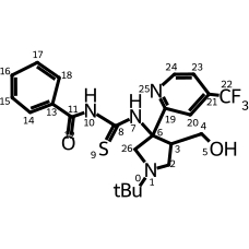 CC(C)(C)N1CC(CO)C(NC(=S)NC(=O)c2ccccc2)(c2cc(C(F)(F)F)ccn2)C1